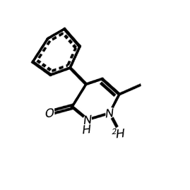 [2H]N1NC(=O)C(c2ccccc2)C=C1C